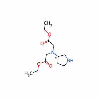 CCOC(=O)CN(CC(=O)OCC)[C@@H]1CCNC1